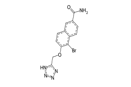 NC(=O)c1ccc2c(Br)c(OCc3nnn[nH]3)ccc2c1